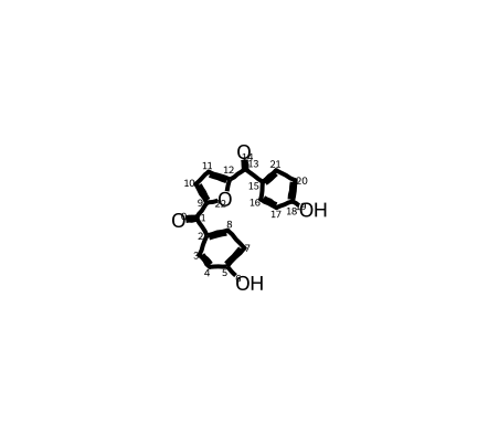 O=C(c1ccc(O)cc1)c1ccc(C(=O)c2ccc(O)cc2)o1